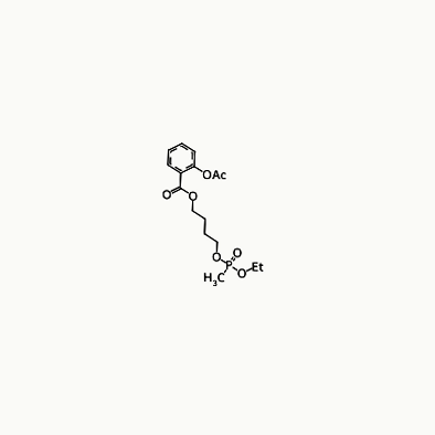 CCOP(C)(=O)OCCCCOC(=O)c1ccccc1OC(C)=O